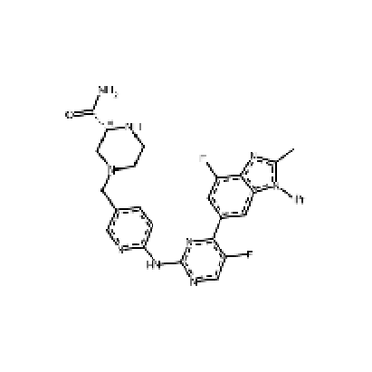 Cc1nc2c(F)cc(-c3nc(Nc4ccc(CN5CCN[C@@H](C(N)=O)C5)cn4)ncc3F)cc2n1C(C)C